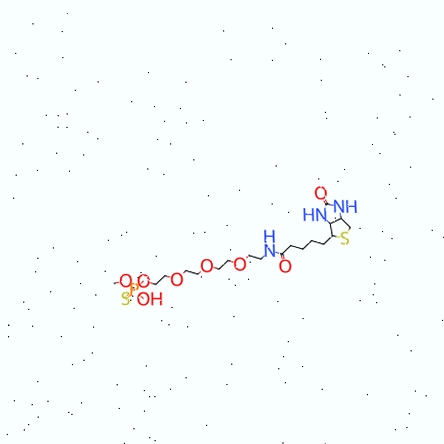 COP(O)(=S)OCCOCCOCCOCCNC(=O)CCCCC1SCC2NC(=O)NC21